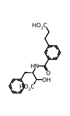 O=C(O)CCc1cccc(C(=O)N[C@H](Cc2ccccc2)[C@@H](O)C(=O)O)c1